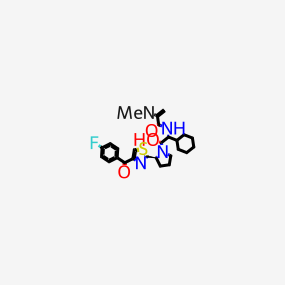 C=C(NC)C(=O)N[C@@H](C1CCCCC1)C(O)N1CCC[C@H]1c1nc(C(=O)c2ccc(F)cc2)cs1